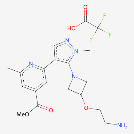 COC(=O)c1cc(C)nc(-c2cnn(C)c2N2CC(OCCN)C2)c1.O=C(O)C(F)(F)F